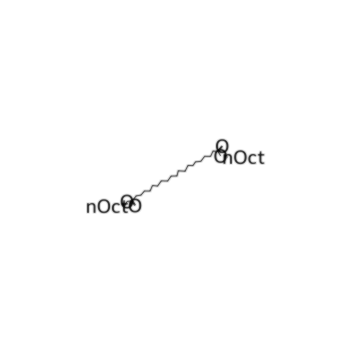 CCCCCCCCOC(=O)CCCCCCCCCCCCCCCCCCCC(=O)OCCCCCCCC